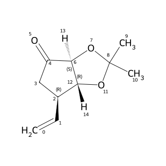 C=C[C@H]1CC(=O)[C@H]2OC(C)(C)O[C@@H]21